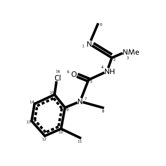 CN=C(NC)NC(=O)N(C)c1c(C)cccc1Cl